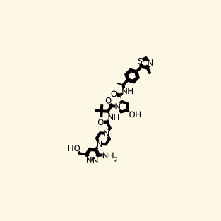 Cc1ncsc1-c1ccc([C@H](C)NC(=O)[C@@H]2C[C@@H](O)CN2C(=O)[C@@H](NC(=O)CN2CCN(c3cc(CO)nnc3N)CC2)C(C)(C)C)cc1